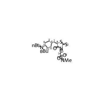 CCCCN(CCCC)c1ccc(C=C2SC(=S)N(CCS(=O)(=O)NC)C2=O)cc1